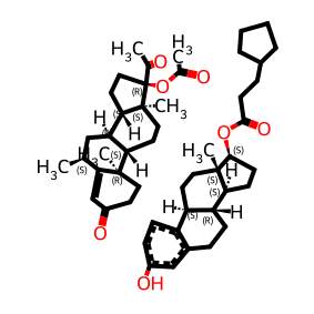 CC(=O)O[C@]1(C(C)=O)CC[C@H]2[C@@H]3C[C@H](C)C4=CC(=O)CC[C@]4(C)[C@H]3CC[C@@]21C.C[C@]12CC[C@@H]3c4ccc(O)cc4CC[C@H]3[C@@H]1CC[C@@H]2OC(=O)CCC1CCCC1